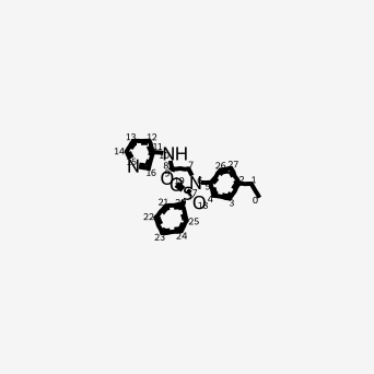 CCc1ccc(N(CC(=O)Nc2cccnc2)S(=O)(=O)c2ccccc2)cc1